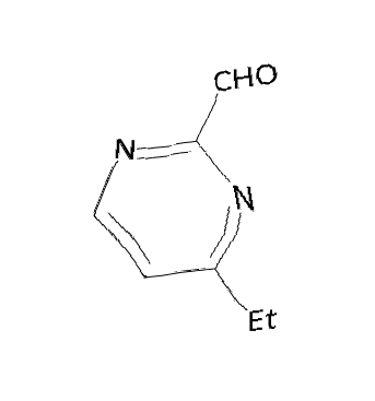 CCc1ccnc(C=O)n1